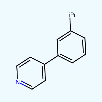 CC(C)c1cccc(-c2ccncc2)c1